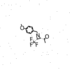 COc1ccc(CN2[C@H](C(C)=O)[C@@H]2C(F)(F)F)cc1